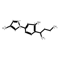 CCCC(C)c1ccc(-n2cc(N)cn2)cc1O